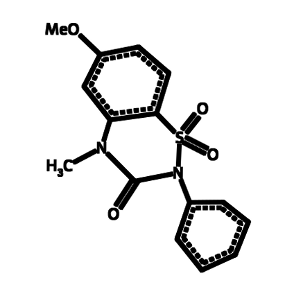 COc1ccc2c(c1)N(C)C(=O)N(c1ccccc1)S2(=O)=O